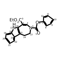 CCOC(=O)C1=CN(C(=O)Oc2ccccc2)CCc2c1[nH]c1ccccc21